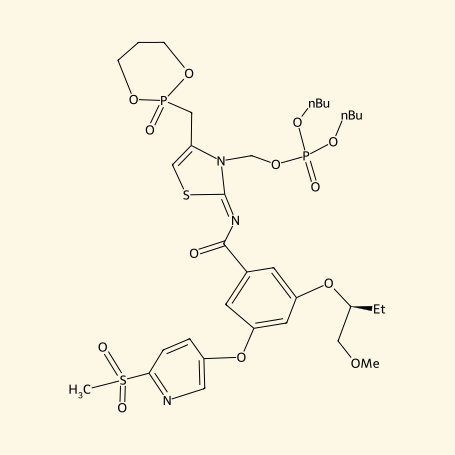 CCCCOP(=O)(OCCCC)OCn1c(CP2(=O)OCCCO2)cs/c1=N\C(=O)c1cc(Oc2ccc(S(C)(=O)=O)nc2)cc(O[C@@H](CC)COC)c1